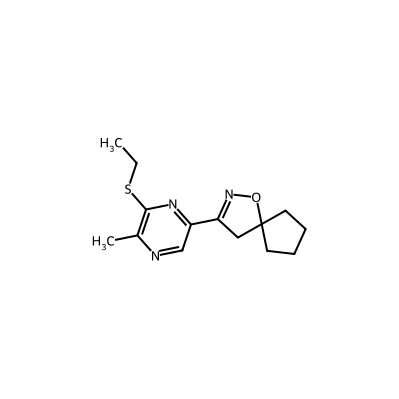 CCSc1nc(C2=NOC3(CCCC3)C2)cnc1C